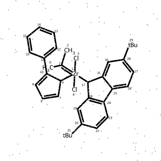 C[C](C)=[Zr]([Cl])([Cl])([CH]1C=CC=C1c1ccccc1)[CH]1c2cc(C(C)(C)C)ccc2-c2ccc(C(C)(C)C)cc21